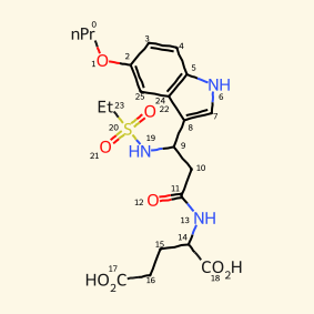 CCCOc1ccc2[nH]cc(C(CC(=O)NC(CCC(=O)O)C(=O)O)NS(=O)(=O)CC)c2c1